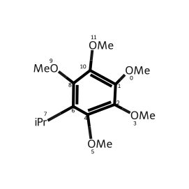 COc1c(OC)c(OC)c(C(C)C)c(OC)c1OC